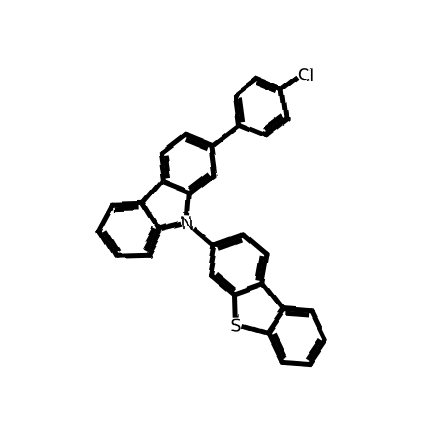 Clc1ccc(-c2ccc3c4ccccc4n(-c4ccc5c(c4)sc4ccccc45)c3c2)cc1